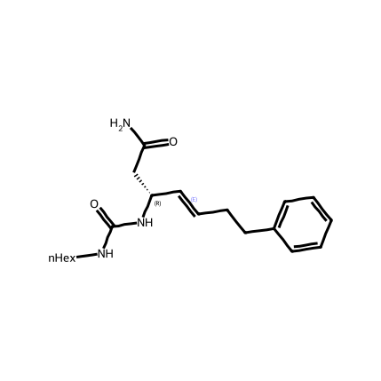 CCCCCCNC(=O)N[C@@H](/C=C/CCc1ccccc1)CC(N)=O